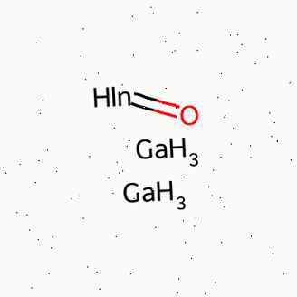 [GaH3].[GaH3].[O]=[InH]